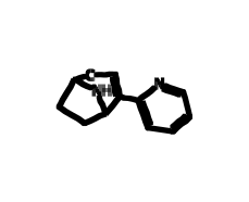 C1=C(c2ccccn2)C2CCC(C1)N2